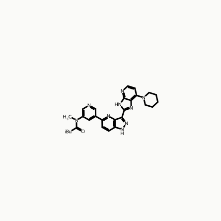 CCC(C)C(=O)N(C)c1cncc(-c2ccc3[nH]nc(-c4nc5c(N6CCCCC6)ccnc5[nH]4)c3n2)c1